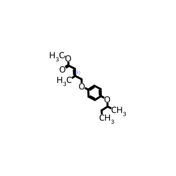 CCC(C)Oc1ccc(OC/C(C)=C/C(=O)OC)cc1